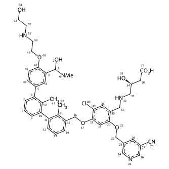 CNC(O)c1cc(-c2cccc(-c3cccc(COc4cc(OCc5cncc(C#N)c5)c(CNC[C@@H](O)CC(=O)O)cc4Cl)c3C)c2C)ccc1OCCNCCO